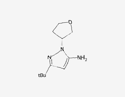 CC(C)(C)c1cc(N)n([C@@H]2CCOC2)n1